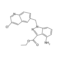 CCOC(=O)c1nn(Cc2ccc3ncc(Cl)cc3c2)c2cccc(N)c12